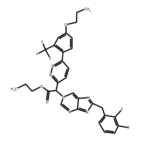 CCCOC(=O)C(c1ccc(-c2ccc(OCCC)cc2C(F)(F)F)nn1)n1cnc2nc(Cc3cccc(F)c3F)nc-2c1